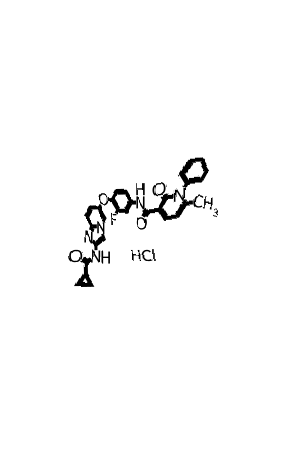 Cc1ccc(C(=O)Nc2ccc(Oc3ccc4nc(NC(=O)C5CC5)cn4c3)c(F)c2)c(=O)n1-c1ccccc1.Cl